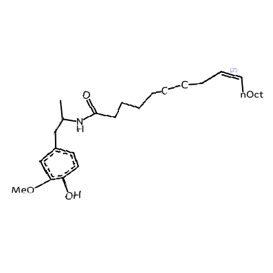 CCCCCCCC/C=C\CCCCCCCC(=O)NC(C)Cc1ccc(O)c(OC)c1